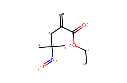 C=C(CC(C)(C)N=O)C(=O)OCC